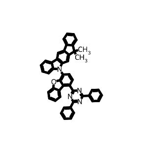 CC1(C)c2ccccc2-c2cc3c4ccccc4n(-c4ccc(-c5nc(-c6ccccc6)nc(-c6ccccc6)n5)c5c4oc4ccccc45)c3cc21